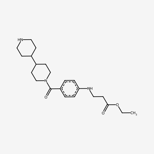 CCOC(=O)CCNc1ccc(C(=O)N2CCC(C3CCNCC3)CC2)cc1